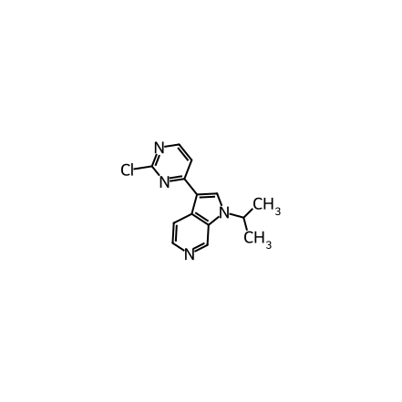 CC(C)n1cc(-c2ccnc(Cl)n2)c2ccncc21